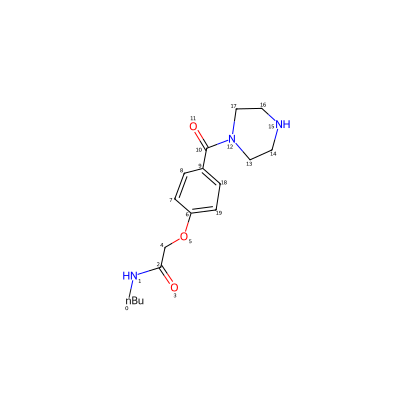 CCCCNC(=O)COc1ccc(C(=O)N2CCNCC2)cc1